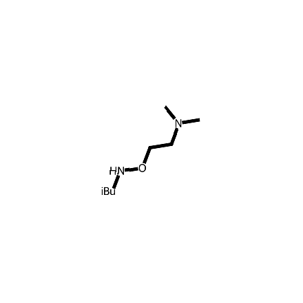 CCC(C)NOCCN(C)C